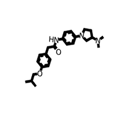 CC(C)COc1ccc(CC(=O)Nc2ccc(N3CCC(N(C)C)C3)cc2)cc1